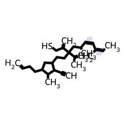 C#CC1C(CCC(CC(C)/C=C\C(C)=C/C)(C(=C)C)C(=C)CS)CC(CCC=C)C1C